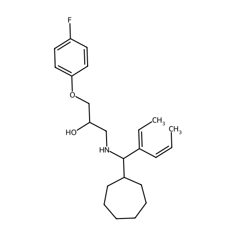 C/C=C\C(=C/C)C(NCC(O)COc1ccc(F)cc1)C1CCCCCC1